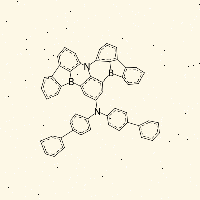 c1ccc(-c2ccc(N(c3ccc(-c4ccccc4)cc3)c3cc4c5c(c3)B3c6ccccc6-c6cccc(c63)N5c3cccc5c3B4c3ccccc3-5)cc2)cc1